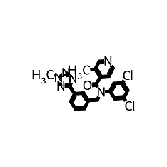 Cc1cnccc1C(=O)N(Cc1cccc(-c2nnn(C)n2)c1)c1cc(Cl)cc(Cl)c1